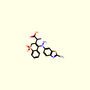 Cc1nc2ccc(N(N)C3=C(C(I)C(=O)O)CS(=O)(=O)c4ccccc43)cc2s1